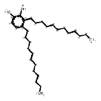 CCCCCCCCCCCCc1ccc(O)c(O)c1CCCCCCCCCCCC